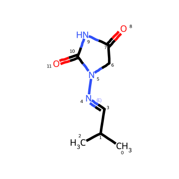 CC(C)/C=N/N1CC(=O)NC1=O